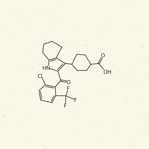 O=C(c1[nH]c2c(c1C1CCC(C(=O)O)CC1)CCCC2)c1c(Cl)cccc1C(F)(F)F